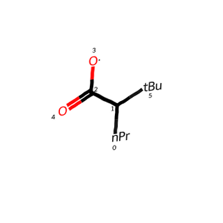 CCCC(C([O])=O)C(C)(C)C